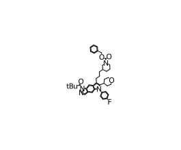 CC(C)(C)C(=O)n1ncc2cc3c(cc21)c(CCCC1CCCN(C(=O)OCc2ccccc2)C1)c(C1CCOCC1)n3-c1ccc(F)cc1